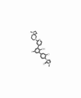 CN1CCC12CCCN(c1cc(-c3cc(F)cc(-c4ccc(-n5ccn(C)c5=O)c(Cl)c4)c3O)ccn1)C2